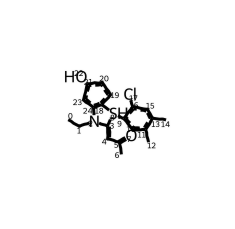 CCN1/C(=C/C(C)=O)[SH](c2cc(C)c(C)cc2Cl)c2ccc(O)cc21